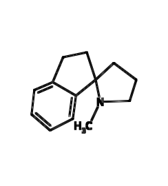 CN1CCCC12CCc1ccccc12